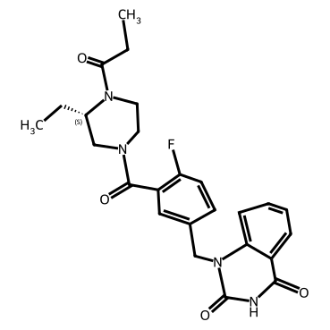 CCC(=O)N1CCN(C(=O)c2cc(Cn3c(=O)[nH]c(=O)c4ccccc43)ccc2F)C[C@@H]1CC